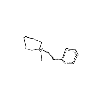 C[N+]1(CCc2ccccc2)CCCCC1